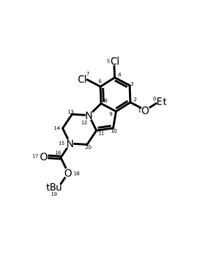 CCOc1cc(Cl)c(Cl)c2c1cc1n2CCN(C(=O)OC(C)(C)C)C1